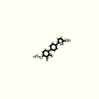 CCCOc1ccc(-c2ccc(-c3ccc(CCC)[se]3)cc2)c(F)c1F